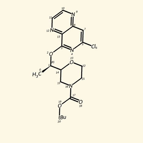 C[C@@H](Oc1nc(Cl)cc2nccnc12)C1CN(C(=O)OC(C)(C)C)CCO1